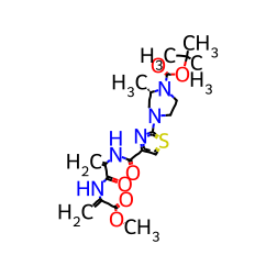 C=C(NC(=O)c1csc(N2CCN(C(=O)OC(C)(C)C)[C@@H](C)C2)n1)C(=O)NC(=C)C(=O)OC